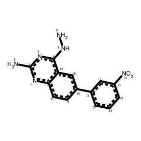 NNc1nc(N)nc2ccc(-c3cccc([N+](=O)[O-])c3)cc12